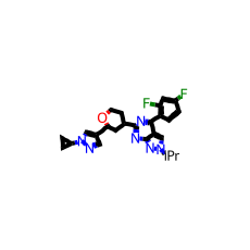 CC(C)n1cc2c(-c3ccc(F)cc3F)nc(C3CCOC(c4cnn(C5CC5)c4)C3)nc2n1